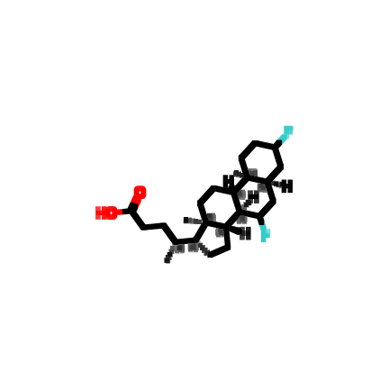 C[C@H](CCC(=O)O)[C@H]1CC[C@H]2[C@@H]3C(F)C[C@@H]4CC(F)CC[C@]4(C)[C@H]3CC[C@]12C